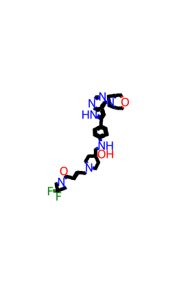 O=C(/C=C/CN1CCC(O)(CNc2ccc(-c3cc4c(N5C6CCC5COC6)ncnc4[nH]3)cc2)CC1)N1CC(F)(F)C1